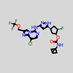 O=C(NC12CC(C1)C2)O[C@H]1C[C@@H](c2cc(Nc3ncc(Cl)c4nc(COC(F)(F)F)cn34)n[nH]2)C[C@H]1F